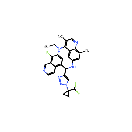 CC(C)(C)CNc1c(C#N)cnc2c(C#N)cc(NC(c3cn(C4(C(F)F)CC4)nn3)c3ccc(F)c4cnccc34)cc12